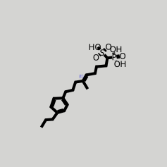 CCCc1ccc(CCC/C(C)=C/CCCC(P(=O)(O)O)S(=O)(=O)O)cc1